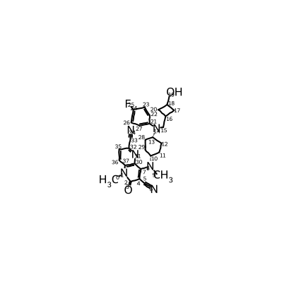 Cn1c(=O)c(C#N)c(N(C)[C@H]2CC[C@@H](N(CC3CC(O)C3)c3ccc(F)cc3)CC2)c2nc(C#N)ccc21